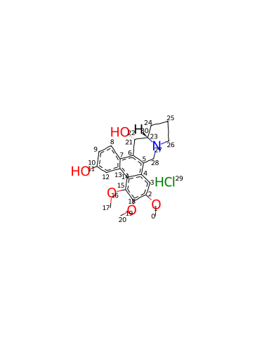 COc1cc2c3c(c4ccc(O)cc4c2c(OC)c1OC)[C@H](O)[C@@H]1CCCN1C3.Cl